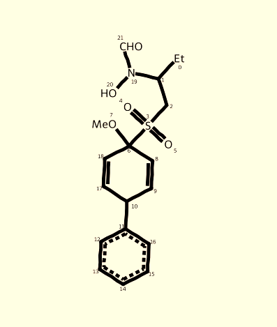 CCC(CS(=O)(=O)C1(OC)C=CC(c2ccccc2)C=C1)N(O)C=O